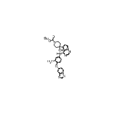 Cc1cc(Nc2ncnn3ccc(C4(O)CCN(C(=O)OC(C)(C)C)CC4)c23)ccc1Oc1ccn2ncnc2c1